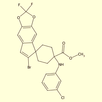 COC(=O)C1(Nc2cccc(Cl)c2)CCC2(CC1)C(Br)=Cc1cc3c(cc12)OC(F)(F)O3